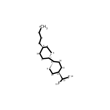 CCCC[C@H]1CC[C@H]([C@H]2CC[C@H](C(F)F)CC2)CC1